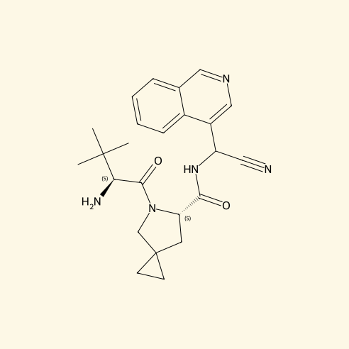 CC(C)(C)[C@H](N)C(=O)N1CC2(CC2)C[C@H]1C(=O)NC(C#N)c1cncc2ccccc12